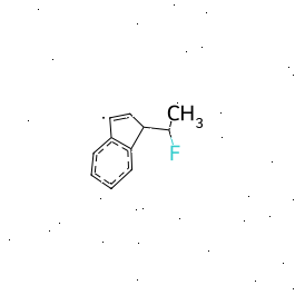 CC(F)C1C=[C]c2ccccc21